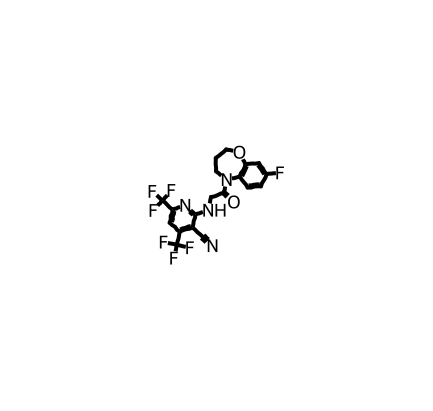 N#Cc1c(C(F)(F)F)cc(C(F)(F)F)nc1NCC(=O)N1CCCOc2cc(F)ccc21